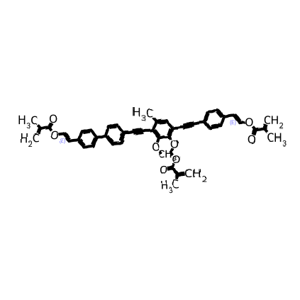 C=C(C)C(=O)O/C=C/c1ccc(C#Cc2cc(C)c(C#Cc3ccc(-c4ccc(/C=C/OC(=O)C(=C)C)cc4)cc3)c(OC)c2OCOC(=O)C(=C)C)cc1